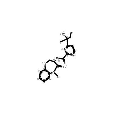 CCC(C)(O)c1ccnc(C(=O)N[C@H]2COc3ccccc3N(C)C2=O)n1